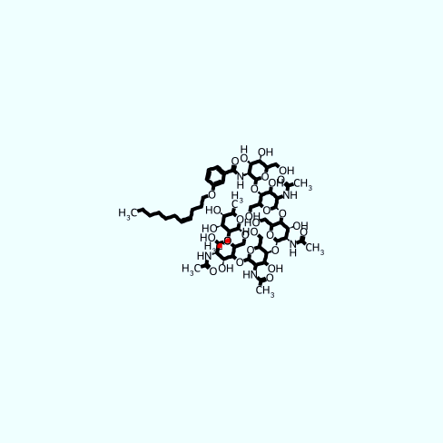 CCCCCC/C=C\CCCOc1cccc(C(=O)N[C@@H]2C(O[C@@H]3C(CO)O[C@@H](OC4C(CO)O[C@@H](O[C@@H]5C(CO)OC(OC6C(CO[C@@H]7OC(C)[C@@H](O)[C@@H](O)C7OC)OC(O)[C@@H](NC(C)=O)[C@H]6O)C(NC(C)=O)C5O)[C@@H](NC(C)=O)[C@H]4O)C(NC(C)=O)C3O)OC(CO)[C@@H](O)[C@@H]2O)c1